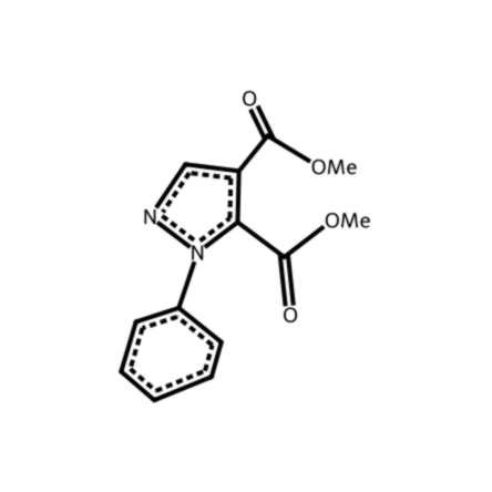 COC(=O)c1cnn(-c2ccccc2)c1C(=O)OC